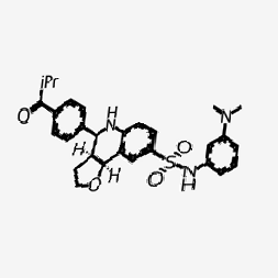 CC(C)C(=O)c1ccc(C2Nc3ccc(S(=O)(=O)Nc4cccc(N(C)C)c4)cc3[C@H]3OCC[C@@H]23)cc1